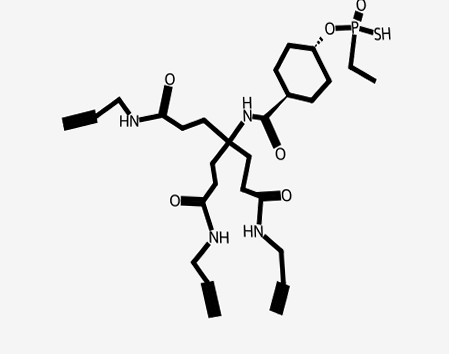 C#CCNC(=O)CCC(CCC(=O)NCC#C)(CCC(=O)NCC#C)NC(=O)[C@H]1CC[C@H](OP(=O)(S)CC)CC1